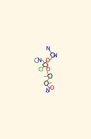 Cc1c(COc2cc(OCc3cncc(C#N)c3)c(CN3CCCCC3)cc2Cl)cccc1-c1cccc(C(=O)N2CC2)c1C